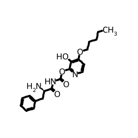 CCCCCOc1ccnc(OC(=O)NC(=O)[C@H](N)Cc2ccccc2)c1O